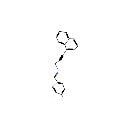 Clc1ccc(C=NCC#Cc2cccc3ccccc23)cc1